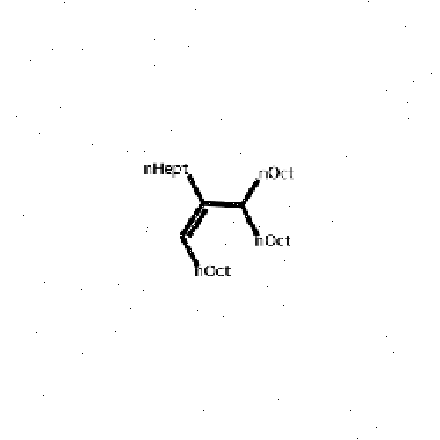 CCCCCCCC/C=C(/CCCCCCC)C(CCCCCCCC)CCCCCCCC